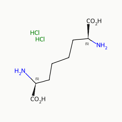 Cl.Cl.N[C@@H](CCCC[C@H](N)C(=O)O)C(=O)O